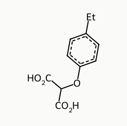 CCc1ccc(OC(C(=O)O)C(=O)O)cc1